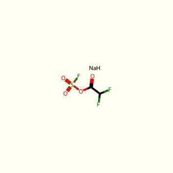 O=C(OS(=O)(=O)F)C(F)F.[NaH]